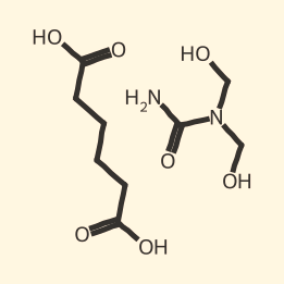 NC(=O)N(CO)CO.O=C(O)CCCCC(=O)O